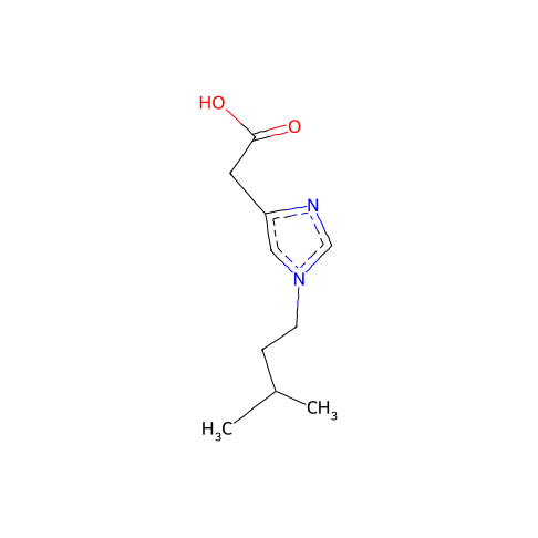 CC(C)CCn1cnc(CC(=O)O)c1